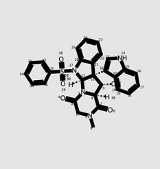 CN1CC(=O)N2[C@H](C1=O)[C@@H](O)[C@]1(c3c[nH]c4ccccc34)c3ccccc3N(S(=O)(=O)c3ccccc3)[C@H]21